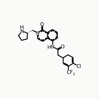 O=C(CC1C=C(C(F)(F)F)C(Cl)=CC1)Nc1cccc2c(=O)n(C[C@@H]3CCCN3)ccc12